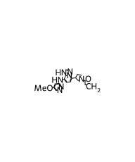 C=CC(=O)N1CCC(C2=CC=C(Nc3cc(OC)cnn3)C3NC=NN23)C1